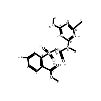 COC(=O)c1ccc(F)cc1S(=O)(=O)NC(=O)N(C)c1nc(C)nc(OC)n1